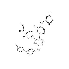 C=CC(=O)N1CCN(c2nc(Nc3cnn(C4CCN(C)C4)c3)ncc2-c2ccc(Oc3nccc(C)n3)c(F)c2)C[C@H]1C